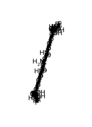 NC(COCCC(=O)NCCOCCOCCOCCOC[C@@]12CO[C@@H](O1)[C@@H](NC(=O)C(F)(F)F)[C@@H](O)[C@H]2O)COCCC(=O)NCCOCCOCCOCCOC[C@@]12CO[C@@H](O1)[C@@H](NC(=O)C(F)(F)F)[C@@H](O)[C@H]2O